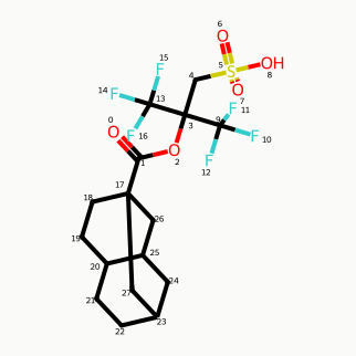 O=C(OC(CS(=O)(=O)O)(C(F)(F)F)C(F)(F)F)C12CCC3CCC(CC3C1)C2